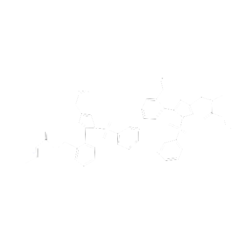 CN(Cc1cc(-c2ccccc2CO)n(S(=O)(=O)c2cccnc2)c1)C(=O)OC(C)(C)C.CNCc1cc(-c2ccccc2COC(=O)/C=C/C(=O)O)n(S(=O)(=O)c2cccnc2)c1